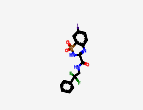 O=C(NCC(F)(F)c1ccccc1)C1=Nc2ccc(I)cc2S(=O)(=O)N1